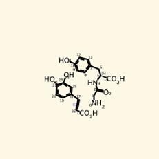 NCC(=O)N[C@@H](Cc1ccc(O)cc1)C(=O)O.O=C(O)/C=C/c1ccc(O)c(O)c1